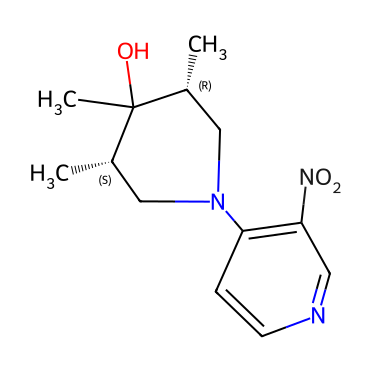 C[C@@H]1CN(c2ccncc2[N+](=O)[O-])C[C@H](C)C1(C)O